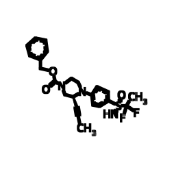 CC#C[C@H]1CN(C(=O)OCc2ccccc2)CCN1c1ccc(S(=N)(=O)C(C)(F)F)cc1